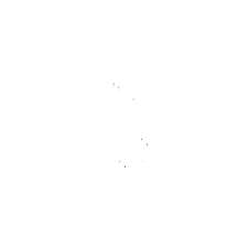 CCNS(=O)(=O)c1sc(NC(C)=O)nc1C